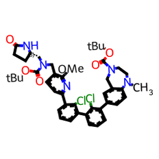 COc1nc(-c2cccc(-c3cccc(-c4ccc5c(c4)CN(C(=O)OC(C)(C)C)CCN5C)c3Cl)c2Cl)ccc1CN(C[C@@H]1CCC(=O)N1)C(=O)OC(C)(C)C